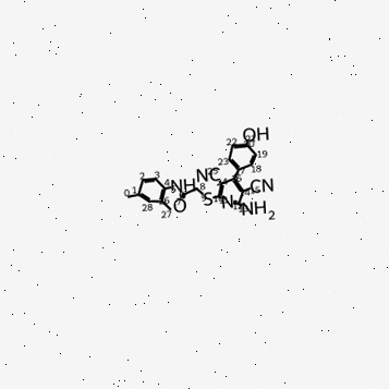 Cc1ccc(NC(=O)CSc2nc(N)c(C#N)c(-c3ccc(O)cc3)c2C#N)c(C)c1